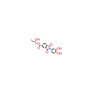 CCC(O)COC(=O)c1ccc2c(c1)C(=O)N(c1ccc(O)c(O)c1)C2=O